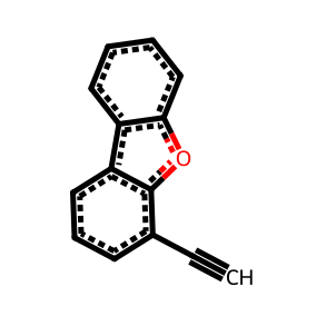 C#Cc1cccc2c1oc1ccccc12